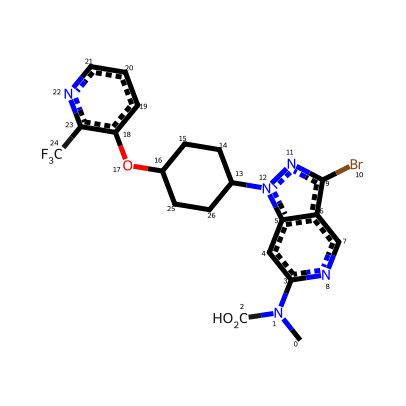 CN(C(=O)O)c1cc2c(cn1)c(Br)nn2C1CCC(Oc2cccnc2C(F)(F)F)CC1